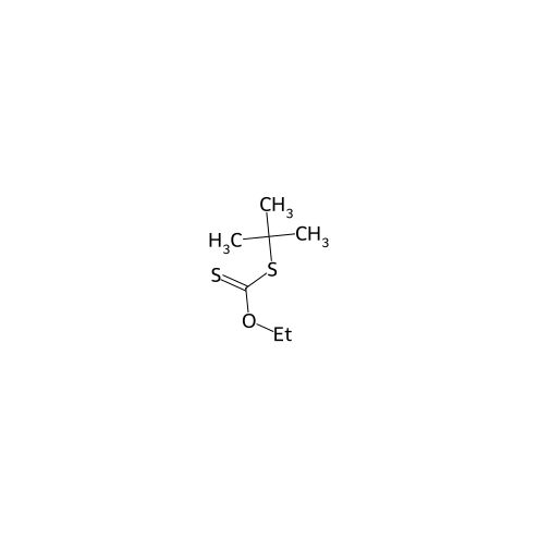 CCOC(=S)SC(C)(C)C